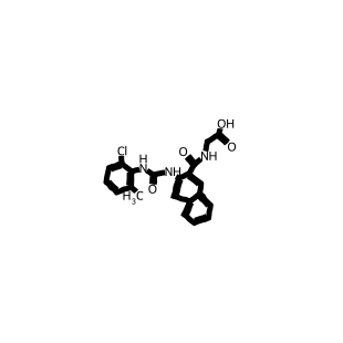 Cc1cccc(Cl)c1NC(=O)Nc1cc2ccccc2cc1C(=O)NCC(=O)O